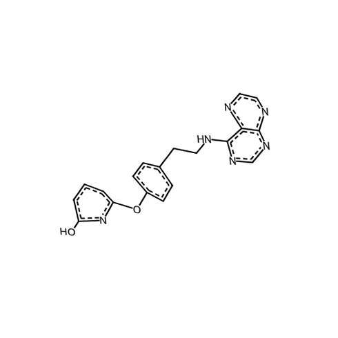 Oc1cccc(Oc2ccc(CCNc3ncnc4nccnc34)cc2)n1